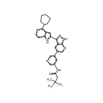 CC(C)(C)CC(=O)Nc1cncc(-c2cnc3[nH]nc(-c4cc5c(N6CCCCC6)nccc5[nH]4)c3c2)c1